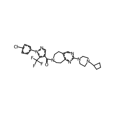 O=C(c1cnn(-c2ccc(Cl)cc2)c1C(F)(F)F)N1CCc2cnc(N3CCN(C4CCC4)CC3)nc2CC1